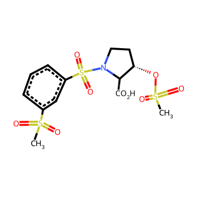 CS(=O)(=O)O[C@H]1CCN(S(=O)(=O)c2cccc(S(C)(=O)=O)c2)C1C(=O)O